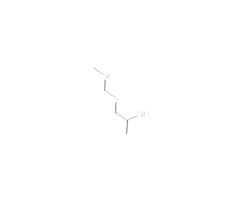 CNCNCC(C)N